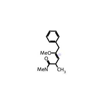 CNC(=O)C(C)/C=C(/Cc1ccccc1)OC